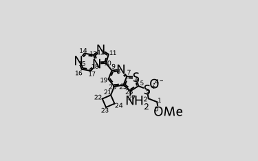 COCC[S@@+]([O-])c1sc2nc(-c3cnc4cnccn34)cc(C3CCC3)c2c1N